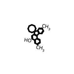 Cc1ccc2c(c1)C1(CCCCCCC1)c1cc(O)c3cc(C)ccc3c1-2